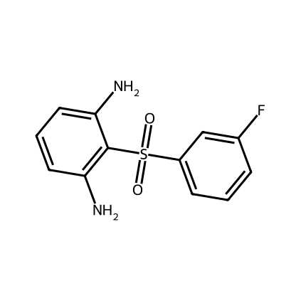 Nc1cccc(N)c1S(=O)(=O)c1cccc(F)c1